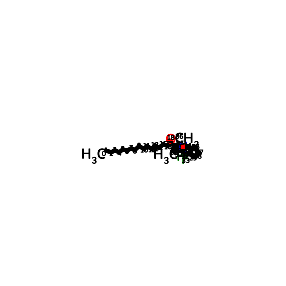 CCCCCCCCCCCCCCCCCC(=O)c1c(C)cn(Cc2ccccc2C(F)(F)F)c1C